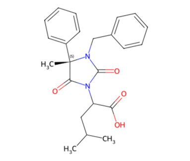 CC(C)CC(C(=O)O)N1C(=O)N(Cc2ccccc2)[C@@](C)(c2ccccc2)C1=O